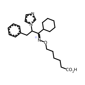 O=C(O)CCCCCO/N=C(\C1CCCCC1)C(Cc1ccccc1)n1ccnc1